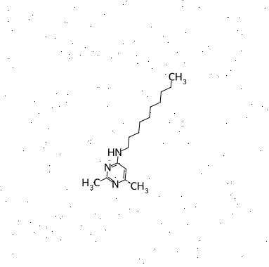 CCCCCCCCCCNc1cc(C)nc(C)n1